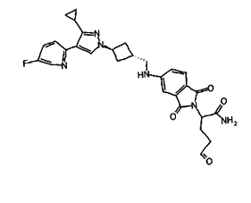 NC(=O)C(CCC=O)N1C(=O)c2ccc(NC[C@H]3C[C@H](n4cc(-c5ccc(F)cn5)c(C5CC5)n4)C3)cc2C1=O